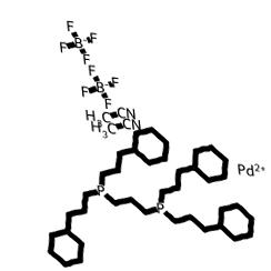 C1CCC(CCCP(CCCC2CCCCC2)CCCP(CCCC2CCCCC2)CCCC2CCCCC2)CC1.CC#N.CC#N.F[B-](F)(F)F.F[B-](F)(F)F.[Pd+2]